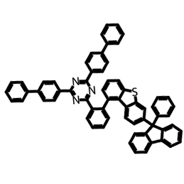 c1ccc(-c2ccc(-c3nc(-c4ccc(-c5ccccc5)cc4)nc(-c4ccccc4-c4cccc5sc6cc(C7(c8ccccc8)c8ccccc8-c8ccccc87)ccc6c45)n3)cc2)cc1